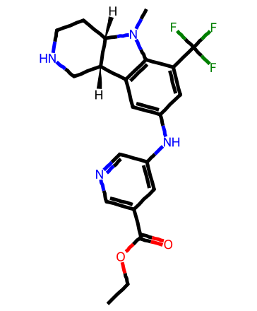 CCOC(=O)c1cncc(Nc2cc3c(c(C(F)(F)F)c2)N(C)[C@H]2CCNC[C@@H]32)c1